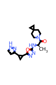 C[C@@H](Nc1nnc(C2CC2c2cc[nH]n2)o1)C(=O)N1CCC2(CC1)CC2